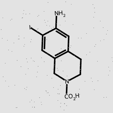 Nc1cc2c(cc1I)CN(C(=O)O)CC2